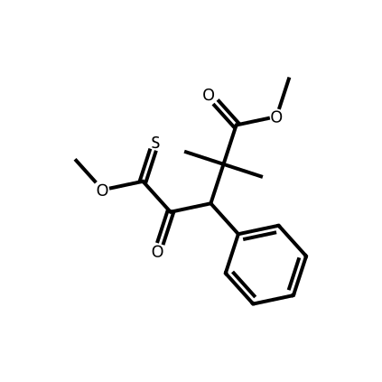 COC(=O)C(C)(C)C(C(=O)C(=S)OC)c1ccccc1